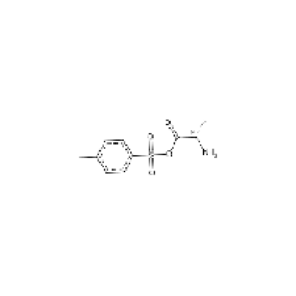 Cc1ccc(S(=O)(=O)OC(=O)[C@H](C)N)cc1